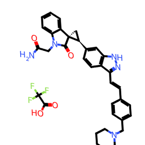 NC(=O)CN1C(=O)[C@@]2(C[C@H]2c2ccc3c(/C=C/c4ccc(CN5CCCCC5)cc4)n[nH]c3c2)c2ccccc21.O=C(O)C(F)(F)F